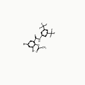 CC(=O)Oc1c(Br)cc(Br)cc1C(=S)Nc1cc(C(F)(F)F)cc(C(F)(F)F)c1